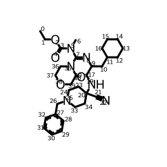 CCOC(=O)N(C)/C(=N/C(CC1CCCCC1)C(=O)NC1(C#N)CCN(Cc2ccccc2)CC1)N1CCOCC1